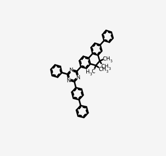 CC1(C)c2cc(-c3ccccc3)ccc2-c2ccc(-c3nc(-c4ccccc4)nc(-c4ccc(-c5ccccc5)cc4)n3)cc2C1(C)C